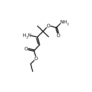 CCOC(=O)C=C(N)C(C)(C)OC(N)=O